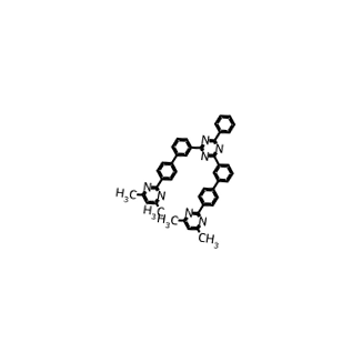 Cc1cc(C)nc(-c2ccc(-c3cccc(-c4nc(-c5ccccc5)nc(-c5cccc(-c6ccc(-c7nc(C)cc(C)n7)cc6)c5)n4)c3)cc2)n1